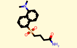 CN(C)c1cccc2c(S(=O)(=O)CCCC(N)=O)cccc12